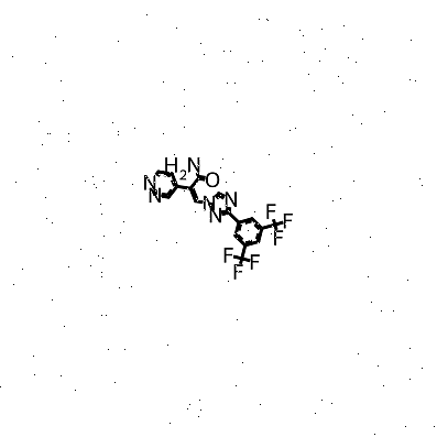 NC(=O)C(=Cn1cnc(-c2cc(C(F)(F)F)cc(C(F)(F)F)c2)n1)c1ccnnc1